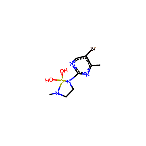 Cc1nc(N2CCN(C)S2(O)O)ncc1Br